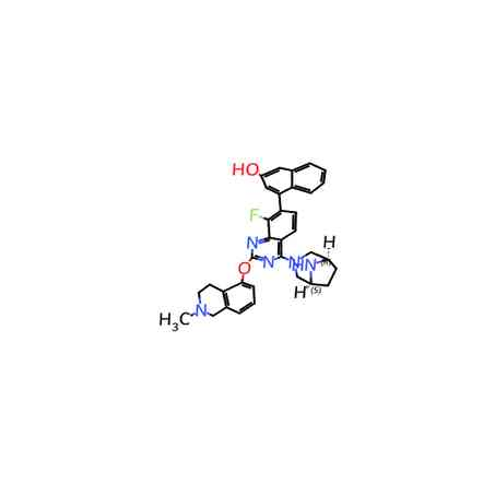 CN1CCc2c(cccc2Oc2nc(N3C[C@H]4CC[C@@H](C3)N4)c3ccc(-c4cc(O)cc5ccccc45)c(F)c3n2)C1